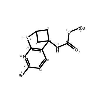 CC(C)(C)OC(=O)NC12CC(C1)Nc1nc(Br)ccc12